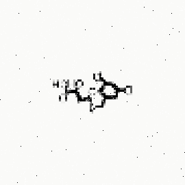 CN(Cc1cc(Cl)cc(Cl)c1)C(=O)C=C(O)C(=O)O